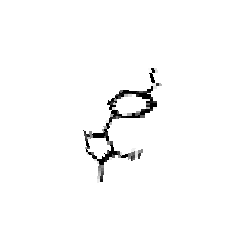 CC1=C(C(C)C)C(c2ccc(Cl)cc2)=NC1